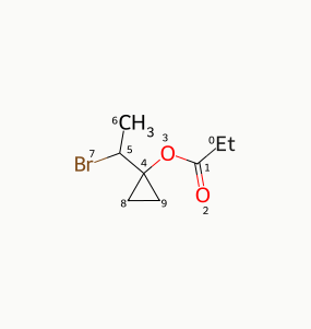 CCC(=O)OC1(C(C)Br)CC1